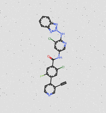 C#Cc1cnccc1-c1cc(Cl)c(C(=O)Nc2cnc(Nn3nc4ccccc4n3)c(Cl)c2)cc1F